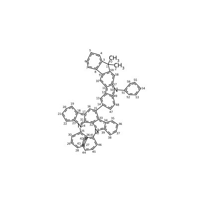 CC1(C)c2ccccc2-c2cc3c4cc(-c5cc6c7ccccc7n(-c7ccccc7)c6c6c5c5ccccc5n6-c5ccccc5)ccc4n(-c4ccccc4)c3cc21